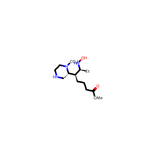 CC[C@H](NO)[C@@H](CCCC(=O)OC)[C@@H]1CNCCN1C(=O)O